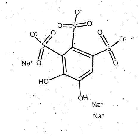 O=S(=O)([O-])c1cc(O)c(O)c(S(=O)(=O)[O-])c1S(=O)(=O)[O-].[Na+].[Na+].[Na+]